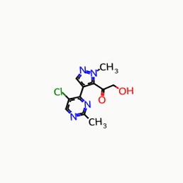 Cc1ncc(Cl)c(-c2cnn(C)c2C(=O)CO)n1